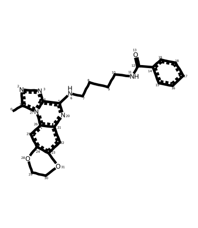 Cc1nnc2c(NCCCCNC(=O)c3ccccc3)nc3cc4c(cc3n12)OCCO4